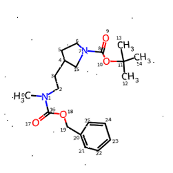 CN(CCC1CCN(C(=O)OC(C)(C)C)C1)C(=O)OCc1ccccc1